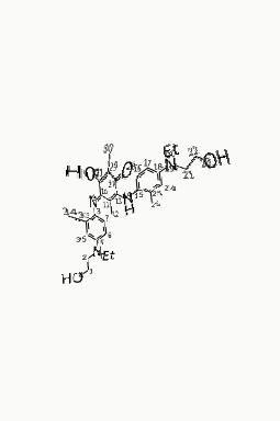 CCN(CCO)c1ccc(N=C2C(C)=C(Nc3ccc(N(CC)CCO)cc3C)C(=O)C(C)=C2O)c(C)c1